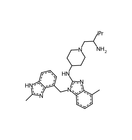 Cc1nc2c(Cn3c(NC4CCN(CC(N)C(C)C)CC4)nc4c(C)cccc43)cccc2[nH]1